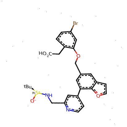 CC(C)(C)[S@+]([O-])NCc1cc(-c2cc(COc3cc(Br)ccc3CC(=O)O)cc3ccoc23)ccn1